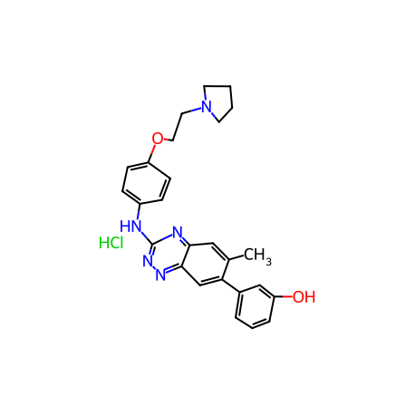 Cc1cc2nc(Nc3ccc(OCCN4CCCC4)cc3)nnc2cc1-c1cccc(O)c1.Cl